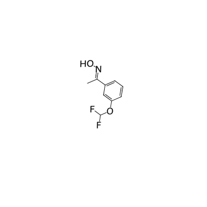 C/C(=N\O)c1cccc(OC(F)F)c1